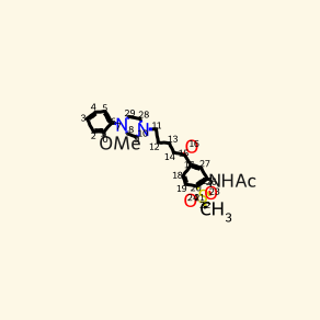 COc1ccccc1N1CCN(CCCCC(=O)c2ccc(S(C)(=O)=O)c(NC(C)=O)c2)CC1